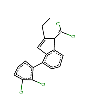 CCC1=Cc2c(-c3cccc(Cl)c3Cl)cccc2[CH]1[Zr]([Cl])[Cl]